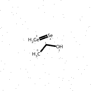 CCO.[GeH2]=[Se]